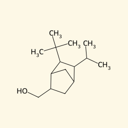 CC(C)C1C2CC(CO)C(C2)C1C(C)(C)C